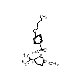 CCCCOc1ccc(C(=O)N[C@@H]2C[C@H](C)CC[C@H]2C(C)C)cc1